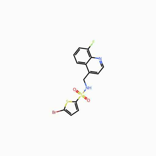 O=S(=O)(NCc1ccnc2c(F)cccc12)c1ccc(Br)s1